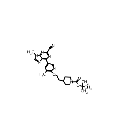 Cc1cc(-c2nc(C#N)nc3c2ncn3C)cnc1OCCC1CCN(C(=O)OC(C)(C)C)CC1